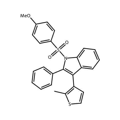 COc1ccc(S(=O)(=O)n2c(-c3ccccc3)c(-c3ccsc3C)c3ccccc32)cc1